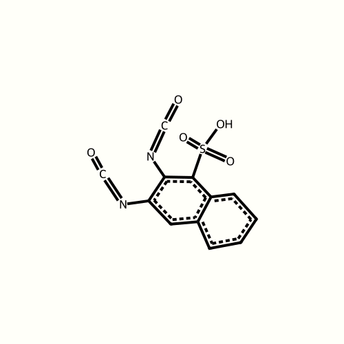 O=C=Nc1cc2ccccc2c(S(=O)(=O)O)c1N=C=O